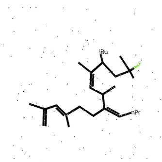 C=C(C)/C=C(\C)CC/C(=C/CCC)C(C)/C=C(/C)C(CC(C)(C)F)C(C)CC